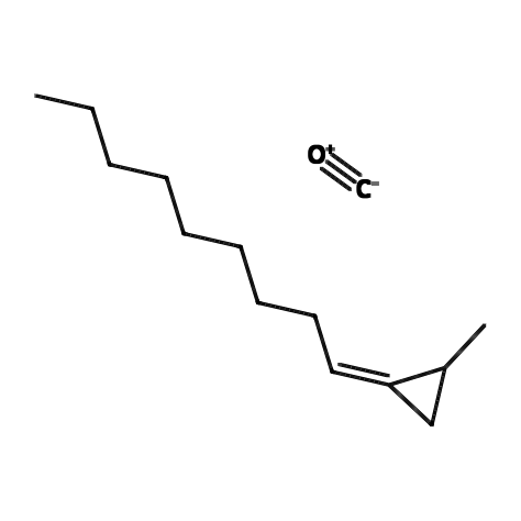 CCCCCCCCC=C1CC1C.[C-]#[O+]